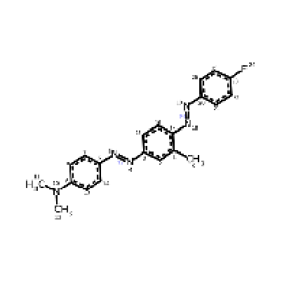 Cc1cc(/N=N/c2ccc(N(C)C)cc2)ccc1/N=N/c1ccc(F)cc1